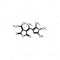 CC(C)=C1C(=O)OC(=O)C1=C(C)c1cc(C#N)n(C)c1C